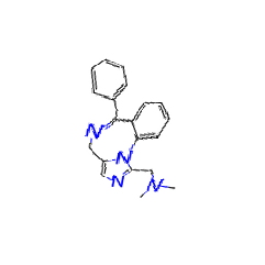 CN(C)Cc1ncc2n1-c1ccccc1C(c1ccccc1)=NC2